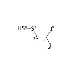 SSSC(I)I